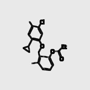 CCC(=O)Oc1cccc(C)c1COc1cc(Cl)c(C)cc1C1CC1